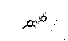 N#Cc1ccc(COc2cccc(Cl)n2)c(F)c1